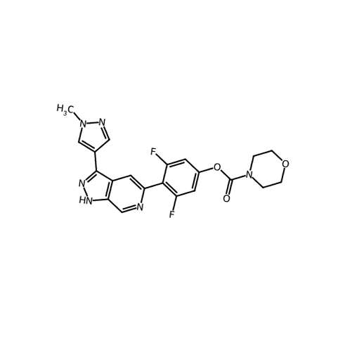 Cn1cc(-c2n[nH]c3cnc(-c4c(F)cc(OC(=O)N5CCOCC5)cc4F)cc23)cn1